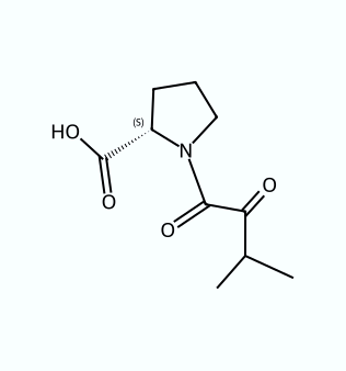 CC(C)C(=O)C(=O)N1CCC[C@H]1C(=O)O